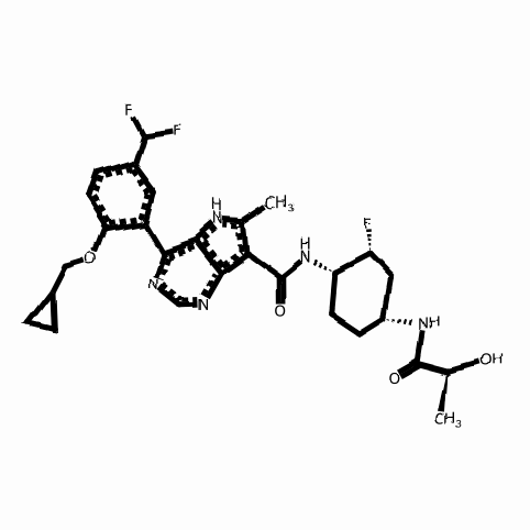 Cc1[nH]c2c(-c3cc(C(F)F)ccc3OCC3CC3)ncnc2c1C(=O)N[C@H]1CC[C@@H](NC(=O)[C@H](C)O)C[C@H]1F